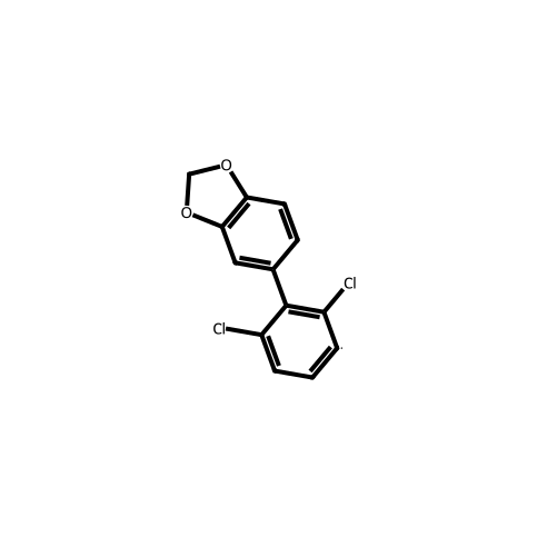 Clc1[c]ccc(Cl)c1-c1ccc2c(c1)OCO2